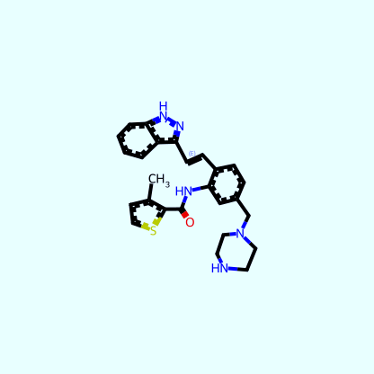 Cc1ccsc1C(=O)Nc1cc(CN2CCNCC2)ccc1/C=C/c1n[nH]c2ccccc12